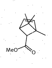 COC(=O)C1C2C=CC1(C)C2(C)C